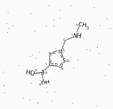 CNCc1cc(B(O)O)cs1